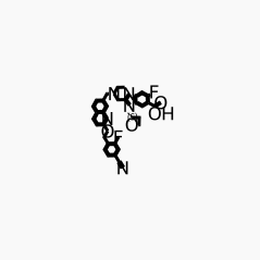 CCN(Cc1ccc2ccc(OCc3ccc(C#N)cc3F)nc2c1)Cc1nc2cc(F)c(C(=O)O)cc2n1C[C@@H]1CCO1